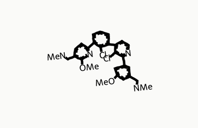 CNCc1cc(OC)cc(-c2nccc(-c3cccc(-c4ccc(CNC)c(OC)n4)c3Cl)c2Cl)c1